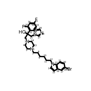 OC(CN1CCN(CCCCCCn2ccc3cc(Br)ccc32)CC1)(Cn1cncn1)c1ccc(F)cc1F